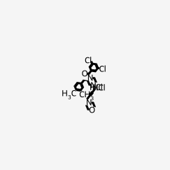 Cc1ccc(C[C@@H]2CN(CC#CCN3CCOCC3)CCN2C(=O)c2cc(Cl)cc(Cl)c2)cc1C.Cl.Cl